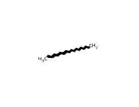 [CH2]CCCCCCCCCC=CCCC=CCC